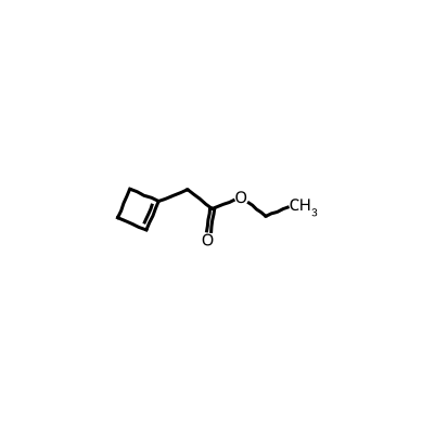 CCOC(=O)CC1=CCC1